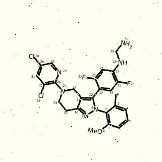 COc1cccc(C)c1-n1nc2c(c1-c1cc(F)c(NCN)cc1F)CN(c1ncc(Cl)cc1Cl)CC2